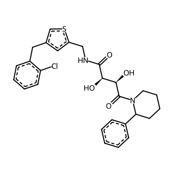 O=C(NCc1cc(Cc2ccccc2Cl)cs1)[C@H](O)[C@@H](O)C(=O)N1CCCCC1c1ccccc1